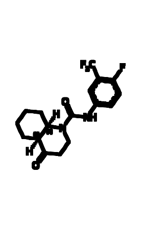 O=C1CCN(C(=O)Nc2ccc(F)c(C(F)(F)F)c2)[C@@H]2CCCC[C@H]12